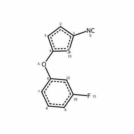 [C-]#[N+]c1ccc(Oc2cccc(F)c2)s1